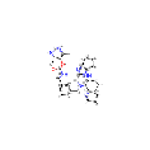 Cc1ncnc(C)c1OC(=O)NCc1cccc(CN(Cc2nc3ccccc3[nH]2)C2CCCc3cccnc32)c1